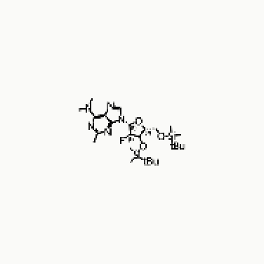 Cc1nc(N(C)C)c2ncn([C@@H]3O[C@H](CO[Si](C)(C)C(C)(C)C)C(O[Si](C)(C)C(C)(C)C)[C@H]3F)c2n1